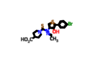 CC=NN(C(=S)N1CCC(C(=O)O)CC1)c1csc(-c2ccc(Br)cc2)c1O